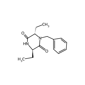 CC[C@H]1NC(=O)[C@H](CC)N(Cc2ccccc2)C1=O